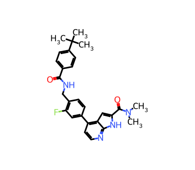 CN(C)C(=O)c1cc2c(-c3ccc(CNC(=O)c4ccc(C(C)(C)C)cc4)c(F)c3)ccnc2[nH]1